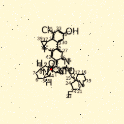 C=CC(=O)N1[C@@H]2CC[C@H]1CN(c1nc(OC[C@@]34CCCN3C[C@H](F)C4)nc3cc(-c4cc(O)cc(Cl)c4C4CC4)c(F)cc13)C2